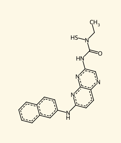 CCN(S)C(=O)Nc1cnc2ccc(Nc3ccc4ccccc4c3)nc2n1